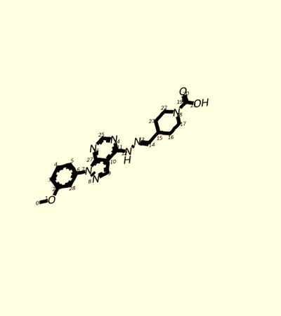 COc1cccc(-n2ncc3c(NN=CC4CCN(C(=O)O)CC4)ncnc32)c1